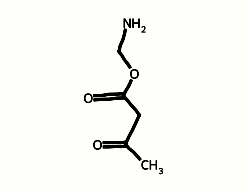 CC(=O)CC(=O)OCN